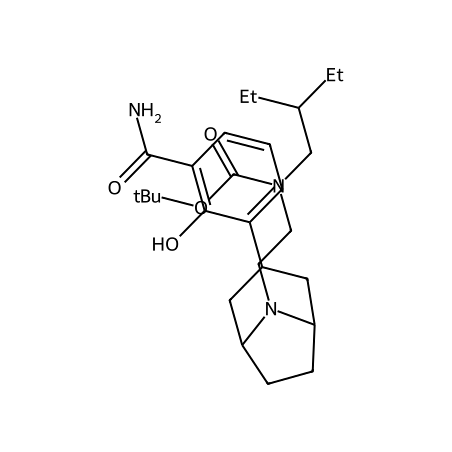 CCC(CC)CN(CCN1C2CCC1CC(c1cccc(C(N)=O)c1O)C2)C(=O)OC(C)(C)C